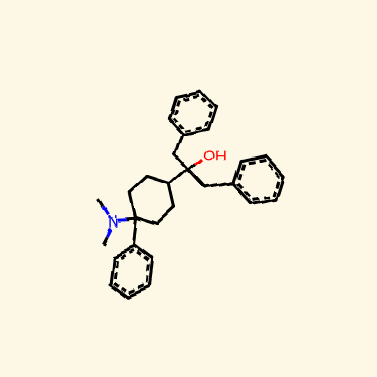 CN(C)C1(c2ccccc2)CCC(C(O)(Cc2ccccc2)Cc2ccccc2)CC1